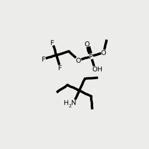 CCC(N)(CC)CC.COP(=O)(O)OCC(F)(F)F